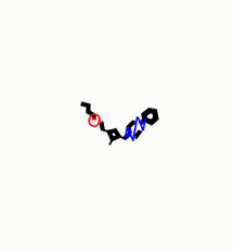 CCCCOCC[C@H]1C[C@@H](CN2CCN(c3ccccc3)CC2)[C@H]1C